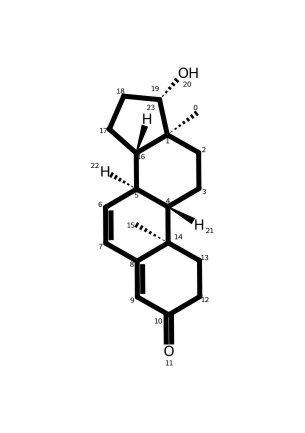 C[C@]12CC[C@H]3[C@@H](C=CC4=CC(=O)CC[C@@]43C)[C@@H]1CC[C@@H]2O